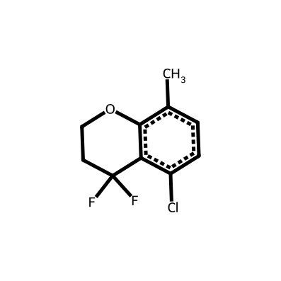 Cc1ccc(Cl)c2c1OCCC2(F)F